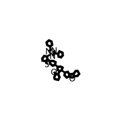 c1ccc(-c2nc(-c3ccccc3)nc(-c3cccc4sc5cc(-c6ccc(-c7ccc8oc9ccccc9c8c7)c7c6oc6ccccc67)ccc5c34)n2)cc1